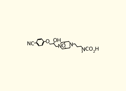 CN(CCCN1CC2CN(CC(O)COc3ccc(C#N)cc3)CC(C1)O2)C(=O)O